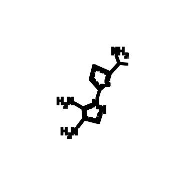 CC(N)c1ccc(-n2ncc(N)c2N)s1